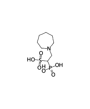 O=P(O)(O)C(CN1CCCCCC1)S(=O)(=O)O